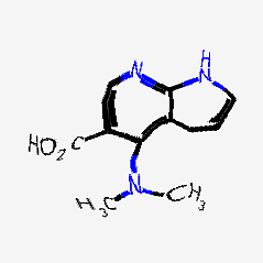 CN(C)c1c(C(=O)O)cnc2[nH]ccc12